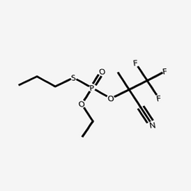 CCCSP(=O)(OCC)OC(C)(C#N)C(F)(F)F